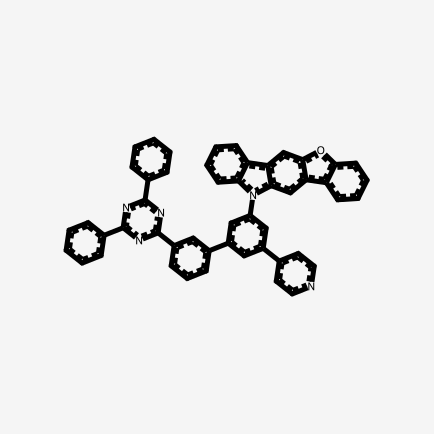 c1ccc(-c2nc(-c3ccccc3)nc(-c3cccc(-c4cc(-c5ccncc5)cc(-n5c6ccccc6c6cc7oc8ccccc8c7cc65)c4)c3)n2)cc1